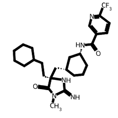 CN1C(=N)N[C@](CCC2CCCCC2)(C[C@H]2CCC[C@@H](NC(=O)c3ccc(C(F)(F)F)nc3)C2)C1=O